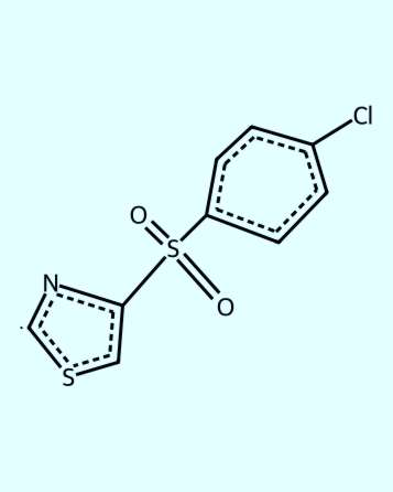 O=S(=O)(c1ccc(Cl)cc1)c1cs[c]n1